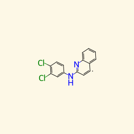 Clc1ccc(Nc2c[c]c3ccccc3n2)cc1Cl